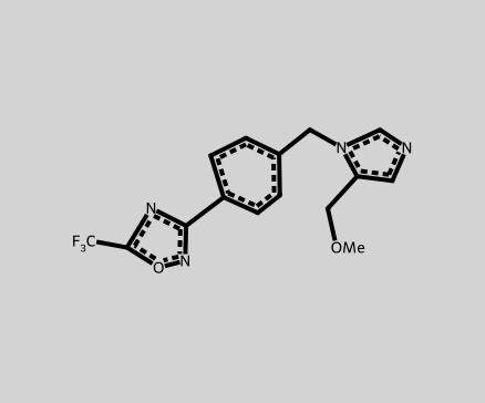 COCc1cncn1Cc1ccc(-c2noc(C(F)(F)F)n2)cc1